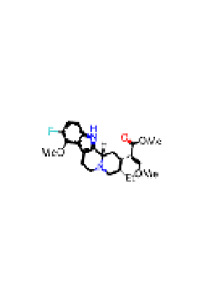 CC[C@@H]1CN2CCc3c([nH]c4ccc(F)c(OC)c34)[C@@H]2C[C@@H]1/C(=C\OC)C(=O)OC